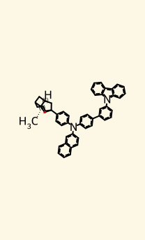 C[C@H]1CC2C[C@H]3CC(c4ccc(N(c5ccc(-c6cccc(-n7c8ccccc8c8ccccc87)c6)cc5)c5ccc6ccccc6c5)cc4)(CC23)C1